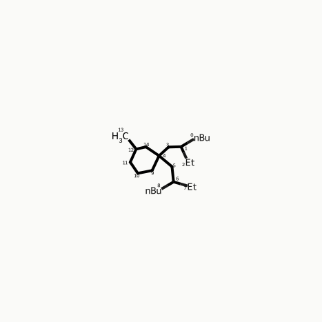 CCCCC(CC)CC1(CC(CC)CCCC)CCCC(C)C1